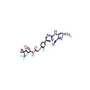 Cn1cc(Nc2ncc(-c3ccc(CC(=O)Nc4cc(C5(C(F)(F)F)CC5)on4)c(F)c3)cn2)c(C#N)n1